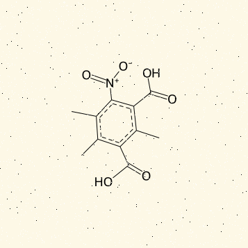 Cc1c(C)c([N+](=O)[O-])c(C(=O)O)c(C)c1C(=O)O